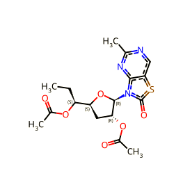 CC[C@H](OC(C)=O)[C@@H]1C[C@@H](OC(C)=O)[C@H](n2c(=O)sc3cnc(C)nc32)O1